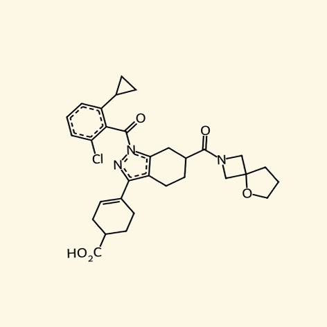 O=C(O)C1CC=C(c2nn(C(=O)c3c(Cl)cccc3C3CC3)c3c2CCC(C(=O)N2CC4(CCCO4)C2)C3)CC1